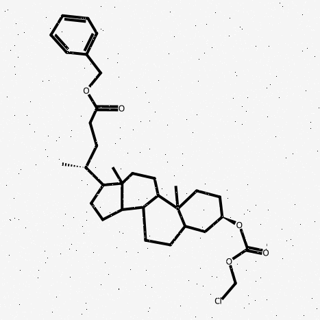 C[C@H](CCC(=O)OCc1ccccc1)C1CCC2C3CCC4C[C@H](OC(=O)OCCl)CCC4(C)C3CCC21C